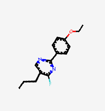 CCCc1cnc(-c2ccc(OCC)cc2)nc1F